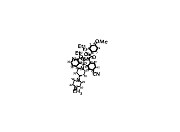 CCOc1cc(OC)ccc1S(=O)(=O)N1C(=O)C(c2cccnc2OCC)(N2CCC(N3CCN(C)CC3)CC2)c2cc(C#N)ccc21